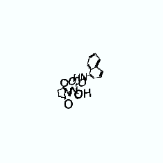 O=C(ONc1cccc2ccccc12)N(O)N1C(=O)CCC1=O